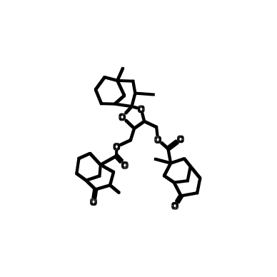 CC1CC2(C(=O)OCC3OC4(OC3COC(=O)C3(C)CC5CCC(=O)C(C5)C3)C(C)CC3(C)CCCC4C3)CCCC(C2)C1=O